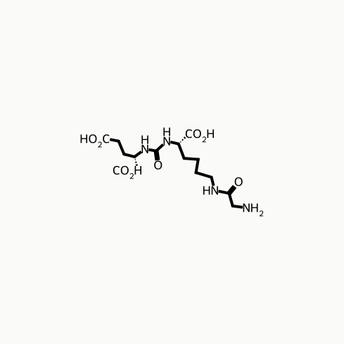 NCC(=O)NCCCC[C@H](NC(=O)N[C@@H](CCC(=O)O)C(=O)O)C(=O)O